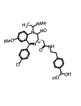 CNC(C)N1c2ccc(OC)cc2C(c2ccc(Cl)cc2)=N[C@@H](CC(=O)NCCc2ccc(B(O)O)cc2)C1N=O